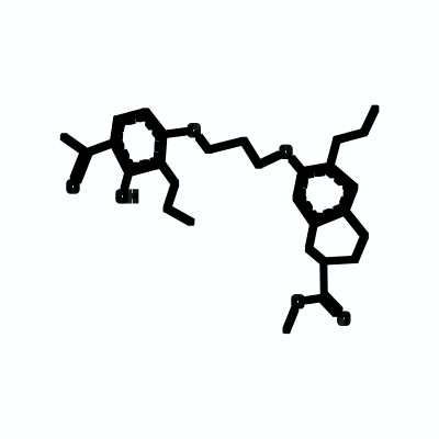 CCCc1cc2c(cc1OCCCOc1ccc(C(C)=O)c(O)c1CCC)CC(C(=O)OC)CC2